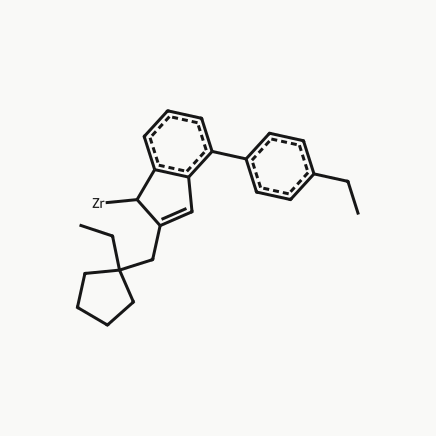 CCc1ccc(-c2cccc3c2C=C(CC2(CC)CCCC2)[CH]3[Zr])cc1